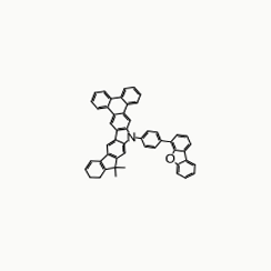 CC1(C)C2=C(C=CCC2)c2cc3c4cc5c6ccccc6c6ccccc6c5cc4n(-c4ccc(-c5cccc6c5oc5ccccc56)cc4)c3cc21